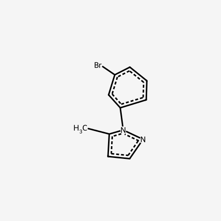 Cc1ccnn1-c1cccc(Br)c1